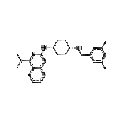 Cc1cc(C)cc(CN[C@H]2CC[C@@H](Nc3nc(N(C)C)c4ccccc4n3)CC2)c1